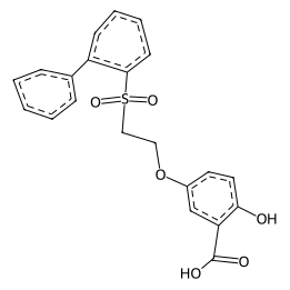 O=C(O)c1cc(OCCS(=O)(=O)c2ccccc2-c2ccccc2)ccc1O